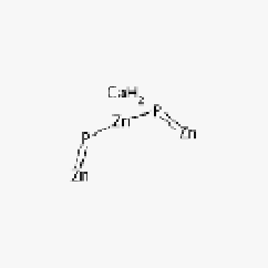 [CaH2].[Zn]=[P][Zn][P]=[Zn]